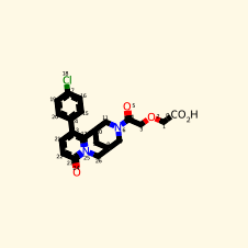 O=C(O)COCC(=O)N1CC2CC(C1)c1c(-c3ccc(Cl)cc3)ccc(=O)n1C2